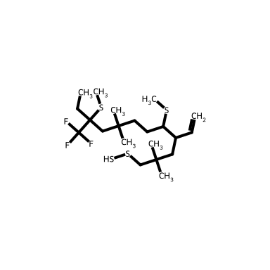 C=CC(CC(C)(C)CSS)C(CCC(C)(C)CC(CC)(SC)C(F)(F)F)SC